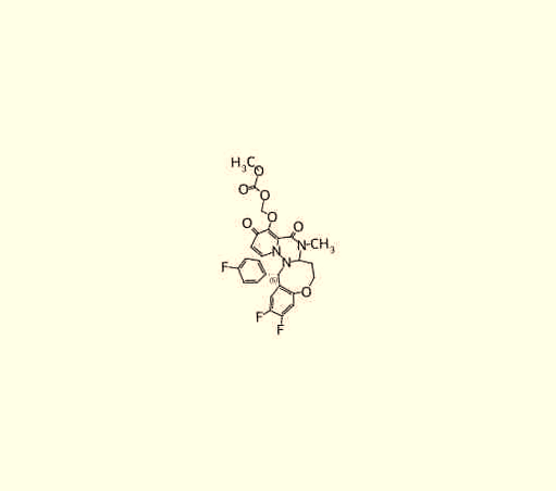 COC(=O)OCOc1c2n(ccc1=O)N1C(CCOc3cc(F)c(F)cc3[C@@H]1c1ccc(F)cc1)N(C)C2=O